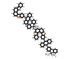 CC1(C)c2ccccc2-c2cc(-c3c4ccccc4c(-c4ccc5c(c4)sc4ccc6cc(CC7(C)c8ccccc8-c8c(-c9c%10ccccc%10c(-c%10ccc%11c(c%10)sc%10ccc%12ccc%13c%14ccccc%14sc%13c%12c%10%11)c%10ccccc9%10)cccc87)c7sc8ccccc8c7c6c45)c4ccccc34)ccc21